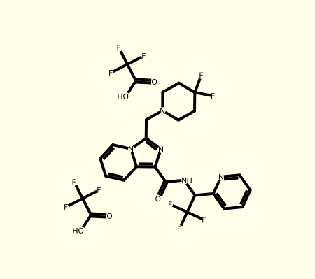 O=C(NC(c1ccccn1)C(F)(F)F)c1nc(CN2CCC(F)(F)CC2)n2ccccc12.O=C(O)C(F)(F)F.O=C(O)C(F)(F)F